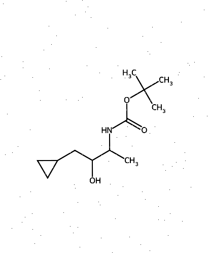 CC(NC(=O)OC(C)(C)C)C(O)CC1CC1